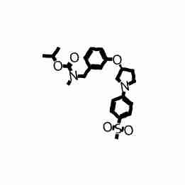 CC(C)OC(=O)N(C)Cc1cccc(O[C@H]2CCN(c3ccc(S(C)(=O)=O)cc3)C2)c1